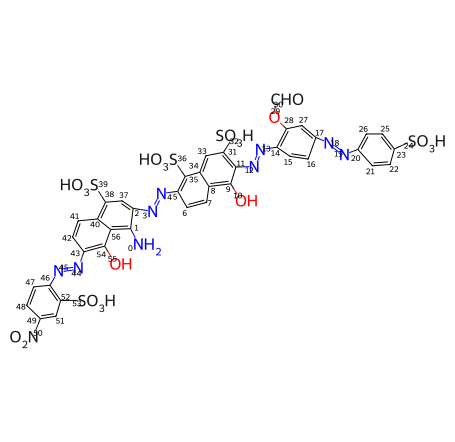 Nc1c(N=Nc2ccc3c(O)c(N=Nc4ccc(N=Nc5ccc(S(=O)(=O)O)cc5)cc4OC=O)c(S(=O)(=O)O)cc3c2S(=O)(=O)O)cc(S(=O)(=O)O)c2ccc(N=Nc3ccc([N+](=O)[O-])cc3S(=O)(=O)O)c(O)c12